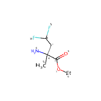 CCOC(=O)C(C)(N)CC(F)F